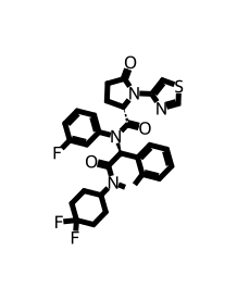 Cc1ccccc1[C@@H](C(=O)N(C)C1CCC(F)(F)CC1)N(C(=O)[C@@H]1CCC(=O)N1c1cscn1)c1cccc(F)c1